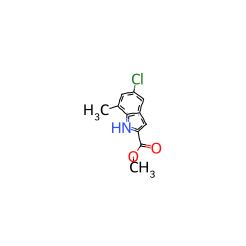 COC(=O)c1cc2cc(Cl)cc(C)c2[nH]1